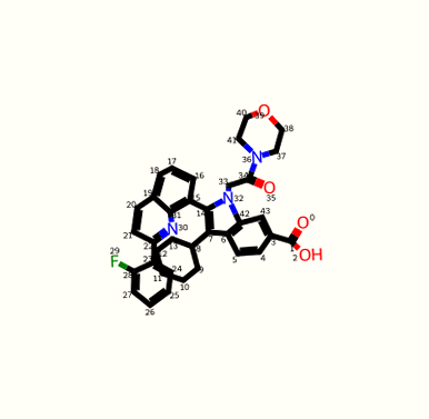 O=C(O)c1ccc2c(C3CCCCC3)c(-c3cccc4ccc(-c5ccccc5F)nc34)n(CC(=O)N3CCOCC3)c2c1